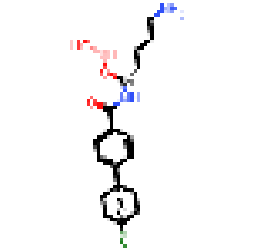 NCCCC[C@H](NC(=O)c1ccc(C23CCC(Cl)(CC2)CC3)cc1)OBO